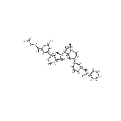 CN(C)CCNc1cc(F)cc(-c2cncc3[nH]c(-c4n[nH]c5ccc(-c6cncc(NC(=O)c7ccccc7)c6)nc45)nc23)c1